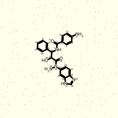 Nc1ccc(C(=O)NC(c2ccccc2)C(O)C(=O)N(N)c2ccc3nc[nH]c3c2)cc1